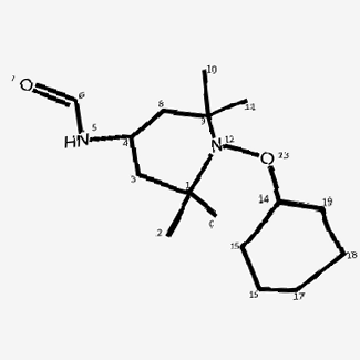 CC1(C)CC(NC=O)CC(C)(C)N1OC1CCCCC1